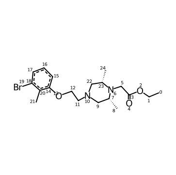 CCOC(=O)CN1[C@H](C)CN(CCOc2cccc(Br)c2C)C[C@@H]1C